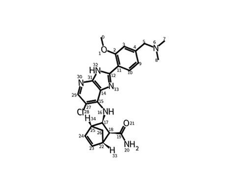 COc1cc(CN(C)C)ccc1-c1nc2c(N[C@H]3[C@@H](C(N)=O)[C@@H]4C=C[C@H]3C4)c(Cl)cnc2[nH]1